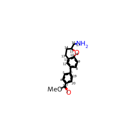 COC(=O)c1ccc(-c2ccc3c(c2)CCC(CN)O3)cc1